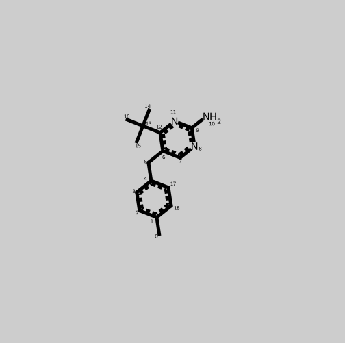 Cc1ccc(Cc2cnc(N)nc2C(C)(C)C)cc1